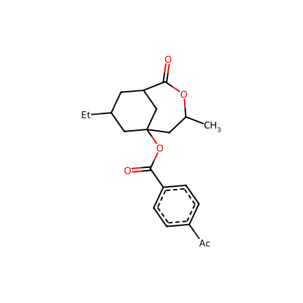 CCC1CC2CC(OC(=O)c3ccc(C(C)=O)cc3)(C1)CC(C)OC2=O